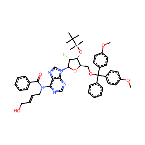 COc1ccc(C(OC[C@H]2O[C@@H](n3cnc4c(N(C/C=C/CO)C(=O)c5ccccc5)ncnc43)[C@H](F)[C@@H]2O[Si](C)(C)C(C)(C)C)(c2ccccc2)c2ccc(OC)cc2)cc1